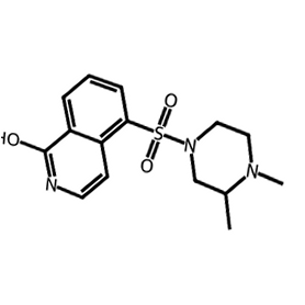 CC1CN(S(=O)(=O)c2cccc3c(O)nccc23)CCN1C